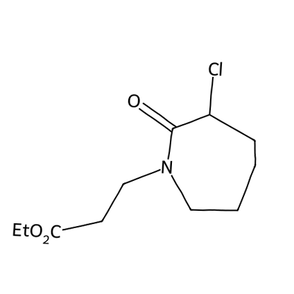 CCOC(=O)CCN1CCCCC(Cl)C1=O